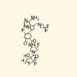 CC(O)(C(=O)N1C[C@H](F)[C@H](NC(=O)c2cc(-c3cc(CN4CC(F)(F)C4)c4c(N)ncnn34)c(F)cc2Cl)C1)C(F)(F)F